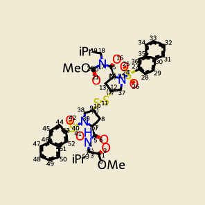 COC(=O)[C@@H](NC(=O)[C@@H]1C[C@H](SS[C@H]2C[C@@H](C(=O)N(CC(C)C)C(=O)OC)N(S(=O)(=O)c3ccc4ccccc4c3)C2)CN1S(=O)(=O)c1ccc2ccccc2c1)C(C)C